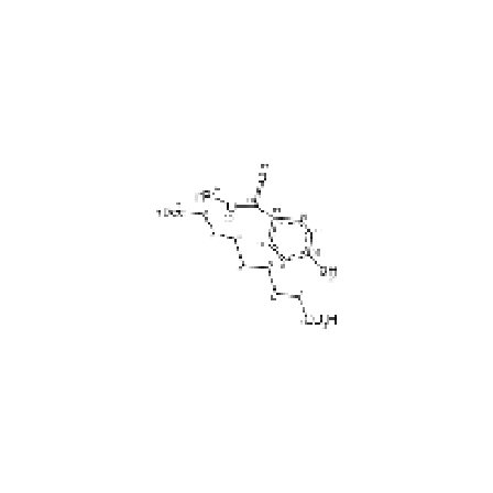 CCCCCCCCCCCCCCCCCC(=O)O.CCCOC(=O)c1ccc(O)cc1